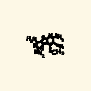 CSc1c(C#N)c(N)nc2sc3c(N)nc(N)nc3c12